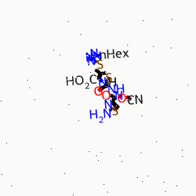 CCCCCCn1nnnc1SCC1=C(C(=O)O)N2C(=O)C(NC(=O)C(=NOCC#N)c3csc(N)n3)[C@@H]2SC1